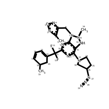 Cc1nonc1CN1c2nc(C(F)(F)C3=CC=CC(C)C3)nc(N3CCC(N=[N+]=[N-])C3)c2NN1C